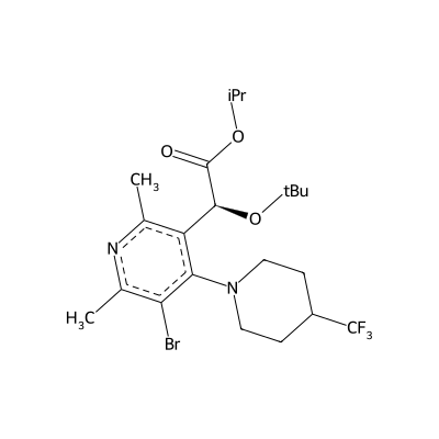 Cc1nc(C)c([C@H](OC(C)(C)C)C(=O)OC(C)C)c(N2CCC(C(F)(F)F)CC2)c1Br